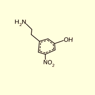 NCCc1cc(O)cc([N+](=O)[O-])c1